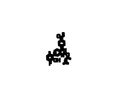 C=CC(=O)N1CCN(c2nc(OC(C)CN(C)C)nc3c2CCN(c2c(C)ccc(F)c2O)C3)CC1